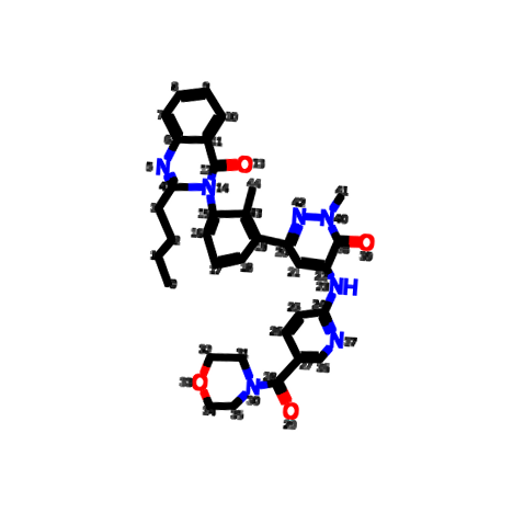 CCCCc1nc2ccccc2c(=O)n1-c1cccc(-c2cc(Nc3ccc(C(=O)N4CCOCC4)cn3)c(=O)n(C)n2)c1C